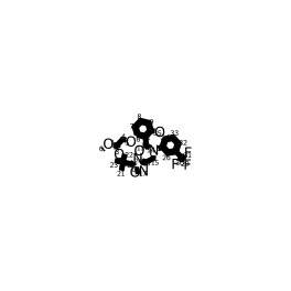 COC(=O)COc1cccc2c1C(=O)N(Cc1noc(C(C)(C)C)n1)c1cc(C(F)(F)F)ccc1O2